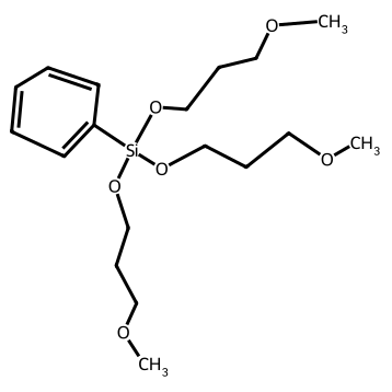 COCCCO[Si](OCCCOC)(OCCCOC)c1ccccc1